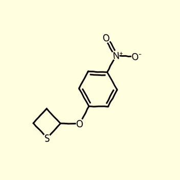 O=[N+]([O-])c1ccc(OC2CCS2)cc1